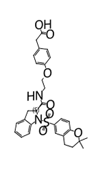 CC1(C)CCc2cc(S(=O)(=O)N3c4ccccc4C[C@H]3C(=O)NCCOc3ccc(CC(=O)O)cc3)ccc2O1